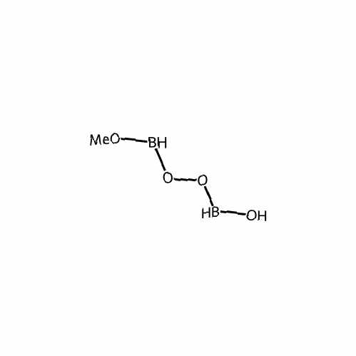 COBOOBO